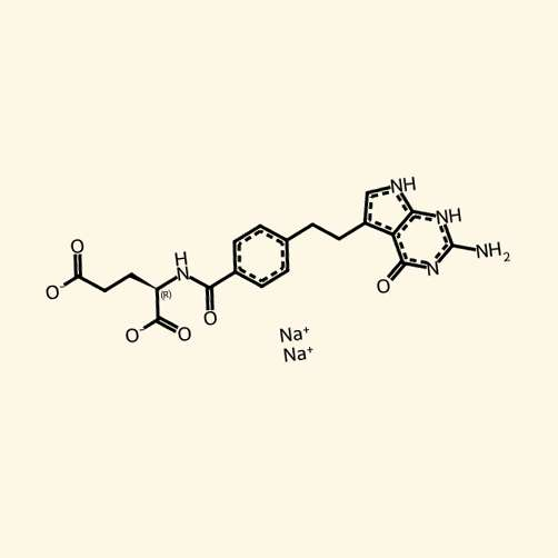 Nc1nc(=O)c2c(CCc3ccc(C(=O)N[C@H](CCC(=O)[O-])C(=O)[O-])cc3)c[nH]c2[nH]1.[Na+].[Na+]